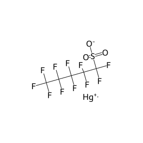 O=S(=O)([O-])C(F)(F)C(F)(F)C(F)(F)C(F)(F)C(F)(F)F.[Hg+]